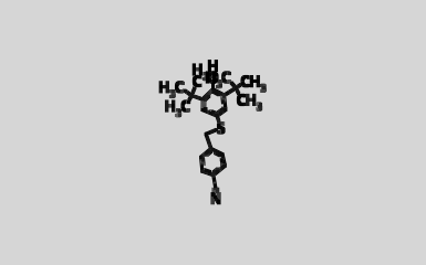 CC(C)(C)c1cc(SCc2ccc(C#N)cc2)cc(C(C)(C)C)c1O